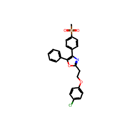 CS(=O)(=O)c1ccc(-c2nc(CCOc3ccc(Cl)cc3)oc2-c2ccccc2)cc1